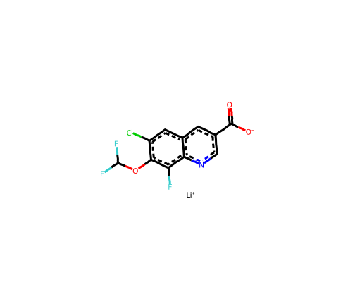 O=C([O-])c1cnc2c(F)c(OC(F)F)c(Cl)cc2c1.[Li+]